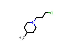 CC1CCN(CCCCl)CC1